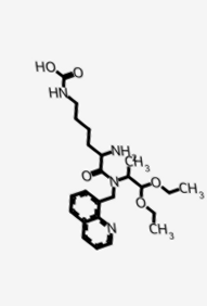 CCOC(OCC)C(C)N(Cc1cccc2cccnc12)C(=O)C(N)CCCCNC(=O)O